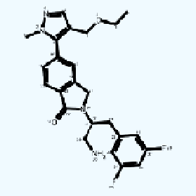 CCOCc1cnn(C)c1-c1ccc2c(c1)CN([C@H](CN)Cc1cc(F)cc(F)c1)C2=O